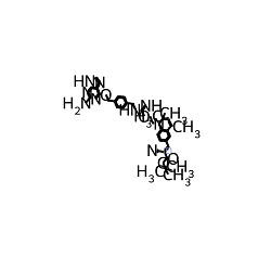 CC1=CC(C)(C)N(CCOC(=N)NCc2ccc(COc3nc(N)nc4[nH]cnc34)cc2)c2ccc(/C=C(\C#N)C(=O)OC(C)(C)C)cc21